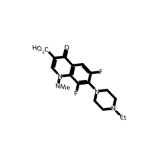 CCN1CCN(c2c(F)cc3c(=O)c(C(=O)O)cn(NC)c3c2F)CC1